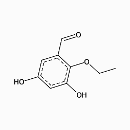 CCOc1c(O)cc(O)cc1C=O